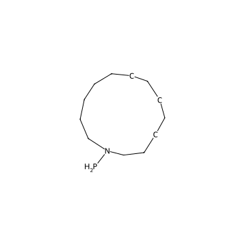 PN1CCCCCCCCCCCC1